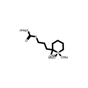 CCCCCCCC(=O)SCCCC1(OC)CCCC[Si]1(OC)OC